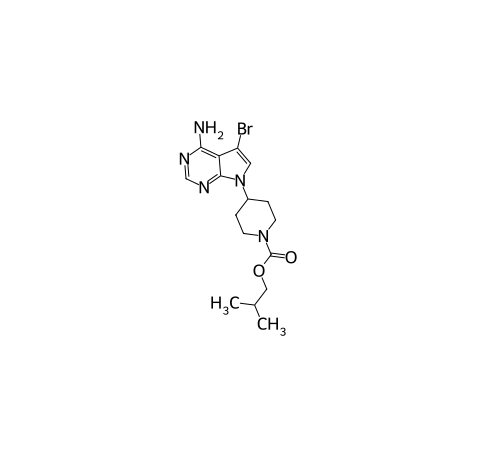 CC(C)COC(=O)N1CCC(n2cc(Br)c3c(N)ncnc32)CC1